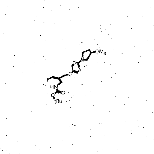 COC1CCN(c2ncc(OC/C(=C/F)CNC(=O)OC(C)(C)C)cn2)C1